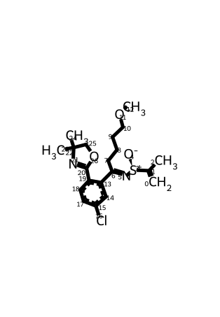 C=C(C)[S@+]([O-])/N=C(\CCCCOC)c1cc(Cl)ccc1C1=NC(C)(C)CO1